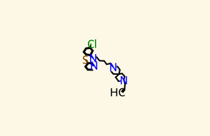 C#CCN1CCC2(CC1)CCN(CCCCCN1c3cc(Cl)ccc3Sc3cccnc31)CC2